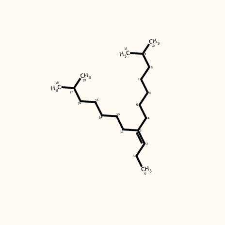 CCC=C(CCCCCC(C)C)CCCCCC(C)C